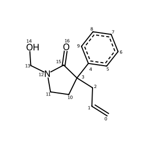 C=CCC1(c2ccccc2)CCN(CO)C1=O